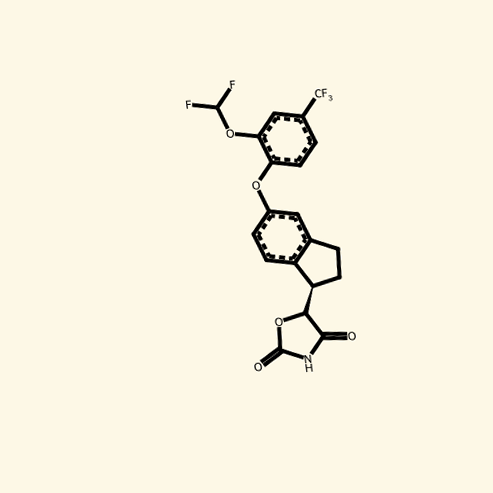 O=C1NC(=O)C([C@@H]2CCc3cc(Oc4ccc(C(F)(F)F)cc4OC(F)F)ccc32)O1